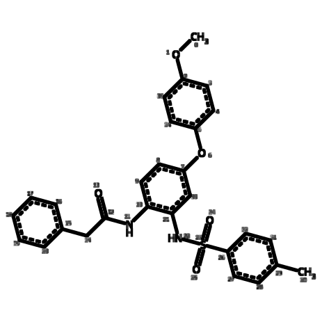 COc1ccc(Oc2ccc(NC(=O)Cc3ccccc3)c(NS(=O)(=O)c3ccc(C)cc3)c2)cc1